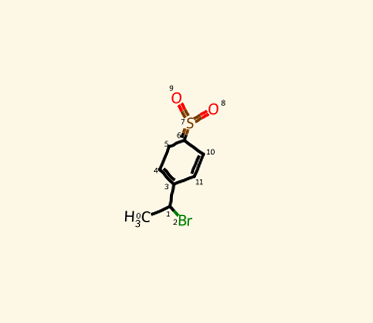 CC(Br)C1=CCC(=S(=O)=O)C=C1